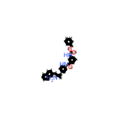 N[C@@]1(Cc2ccc3ccccc3c2)C[C@H]1c1ccc(NC(=O)c2cccc(NC(=O)OCc3ccccc3)c2)cc1